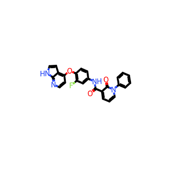 O=C(Nc1ccc(Oc2ccnc3[nH]ccc23)c(F)c1)c1cccn(-c2ccccc2)c1=O